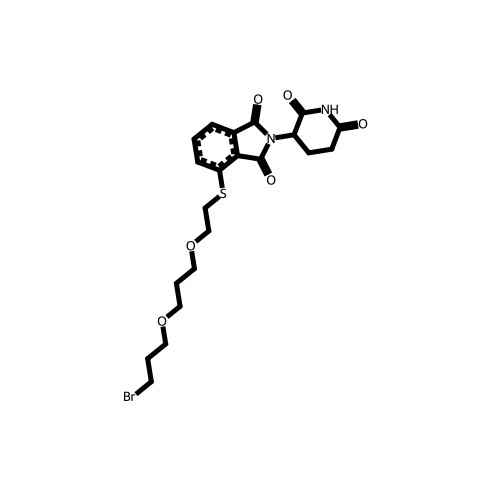 O=C1CCC(N2C(=O)c3cccc(SCCOCCCOCCCBr)c3C2=O)C(=O)N1